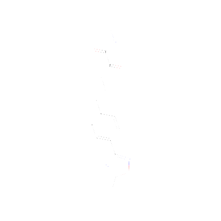 CC(C)NC(=O)C(=O)CCCc1ccc(-c2noc(C(F)(F)F)n2)cc1